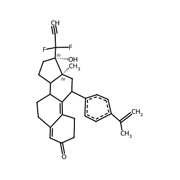 C#CC(F)(F)[C@]1(O)CCC2C3CCC4=CC(=O)CCC4=C3C(c3ccc(C(=C)C)cc3)C[C@@]21C